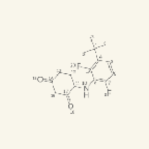 CC(C)(C)c1ccc(F)c(NC2CCC(=O)CC2=O)c1F